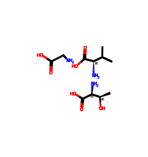 CC(C)[C@H](N)C(=O)O.C[C@@H](O)[C@H](N)C(=O)O.NCC(=O)O